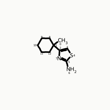 CC1(c2csc(N)n2)CCCCC1